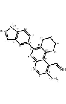 N=Cc1c(N)cnc2nc(-c3ccc4[nH]ncc4c3)c3c(c12)CCCC3